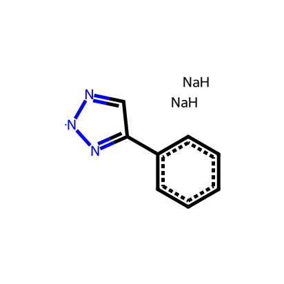 C1=N[N]N=C1c1ccccc1.[NaH].[NaH]